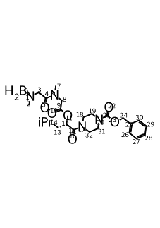 BN(C)CC(=O)N(C)CC(=O)O[C@@H](CC(C)C)C(=O)N1CCN(C(=O)OCc2ccccc2)CC1